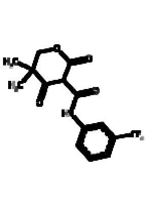 CC1(C)COC(=O)C(C(=O)Nc2cccc(C(F)(F)F)c2)C1=O